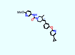 COc1ccc(NC(=O)N2CC/C(=C\c3cccc(Oc4ccc(C5CC5)cn4)c3)C(C)C2)cn1